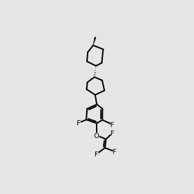 C[C@H]1CC[C@H](C2CCC(c3cc(F)c(OC(F)=C(F)F)c(F)c3)CC2)CC1